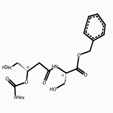 CCCCCCCCCCC[C@H](CC(=O)N[C@@H](CO)C(=O)OCc1ccccc1)OC(=O)CCCCCC